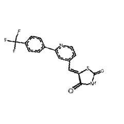 O=C1NC(=O)/C(=C/c2ccnc(-c3ccc(C(F)(F)F)cc3)c2)S1